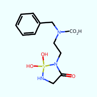 O=C(O)N(CCN1C(=O)CNS1(O)O)Cc1ccccc1